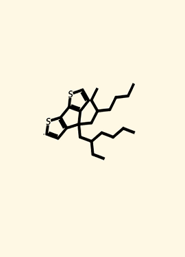 CCCCC(CC)CC1(CC(CC)CCCC)c2c[c]sc2-c2sccc21